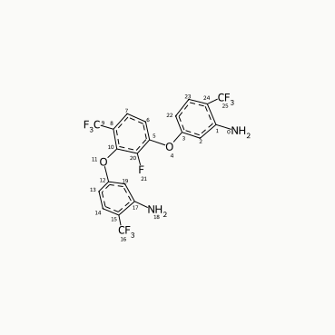 Nc1cc(Oc2ccc(C(F)(F)F)c(Oc3ccc(C(F)(F)F)c(N)c3)c2F)ccc1C(F)(F)F